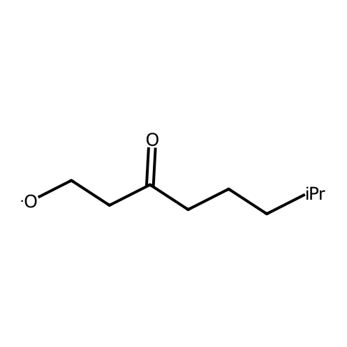 CC(C)CCCC(=O)CC[O]